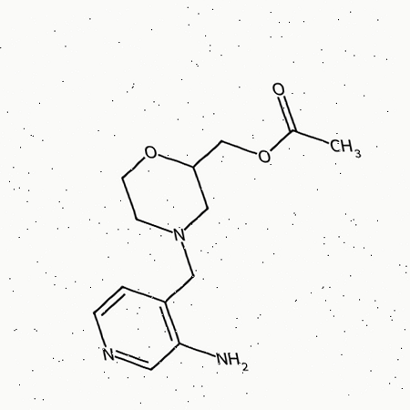 CC(=O)OCC1CN(Cc2ccncc2N)CCO1